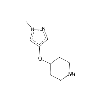 Cn1cc(OC2CCNCC2)cn1